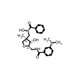 CN(C)c1cccc(C(=O)NC[C@H]2OC[C@@](C)(CN(O)C(=O)c3ccccc3)[C@@H]2O)c1